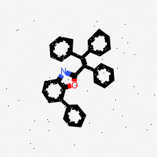 c1ccc(C(=C(c2ccccc2)c2nc3cccc(-c4ccccc4)c3o2)c2ccccc2)cc1